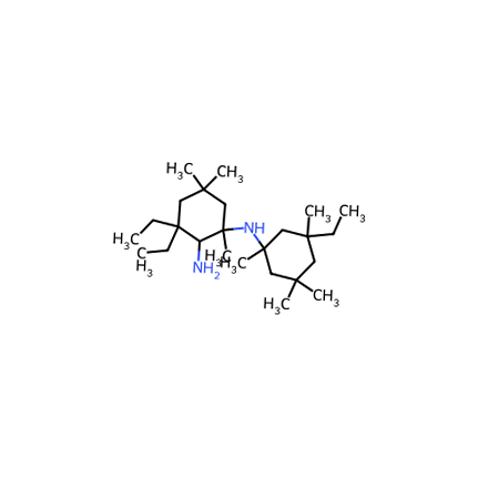 CCC1(C)CC(C)(C)CC(C)(NC2(C)CC(C)(C)CC(CC)(CC)C2N)C1